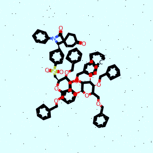 O=C1CCC2(CC1)C(=O)N(c1ccccc1)[C@@H]2c1ccc(S(=O)(=O)C[C@@H]2OC(COCc3ccccc3)[C@@H](O[C@@H]3OC(COCc4ccccc4)[C@@H](OCc4ccccc4)[C@@H](OCc4ccccc4)C3OCc3ccccc3)[C@@H](OCc3ccccc3)C2OCc2ccccc2)cc1